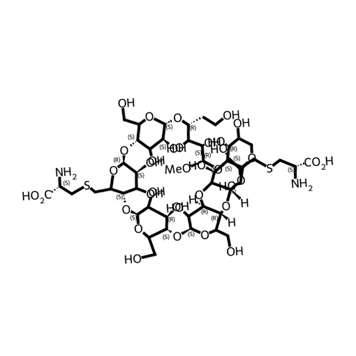 CO[C@H](O[C@@H]1C(CO)OCC(O)[C@H]1O)[C@@H](O)C(O)[C@@H](CCO)O[C@H]1OC(CO)[C@@H](O[C@@H]2OC(CSC[C@@H](N)C(=O)O)[C@@H](O[C@@H]3OC(CO)[C@@H](O[C@@H]4OC(CO)[C@H]5O[C@H]6OC(CSC[C@@H](N)C(=O)O)[C@@H](O)[C@H](O)C6O[C@@H]5C4O)[C@H](O)C3O)C(O)[C@@H]2O)C(O)[C@@H]1O